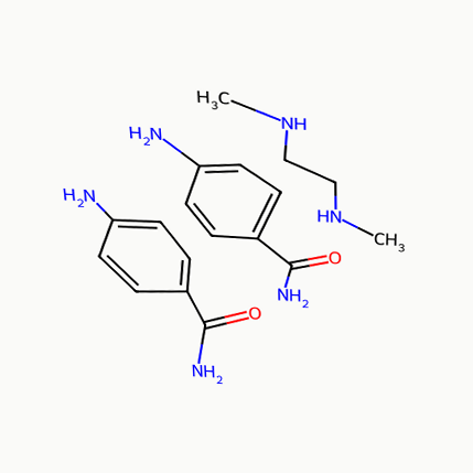 CNCCNC.NC(=O)c1ccc(N)cc1.NC(=O)c1ccc(N)cc1